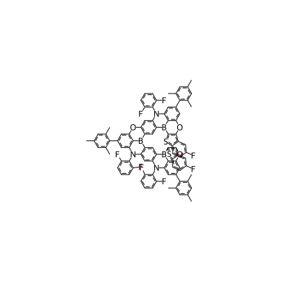 Cc1cc(C)c(-c2cc3c4c(c2)N(c2c(F)cccc2F)c2cc5c(cc2B4c2cc4c(cc2O3)N(c2c(F)cccc2F)c2cc(-c3c(C)cc(C)cc3C)cc3c2B4c2sc4ccc(F)cc4c2O3)B2c3sc4ccc(F)cc4c3Oc3cc(-c4c(C)cc(C)cc4C)cc(c32)N5c2c(F)cccc2F)c(C)c1